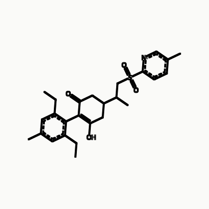 CCc1cc(C)cc(CC)c1C1=C(O)CC(C(C)CS(=O)(=O)c2ccc(C)cn2)CC1=O